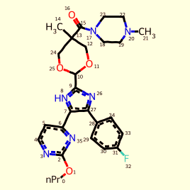 CCCOc1nccc(-c2[nH]c(C3OCC(C)(C(=O)N4CCN(C)CC4)CO3)nc2-c2ccc(F)cc2)n1